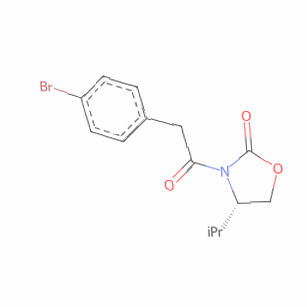 CC(C)[C@H]1COC(=O)N1C(=O)Cc1ccc(Br)cc1